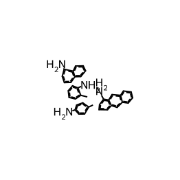 Cc1ccc(N)cc1.Cc1ccccc1N.Nc1cccc2cc3ccccc3cc12.Nc1cccc2ccccc12